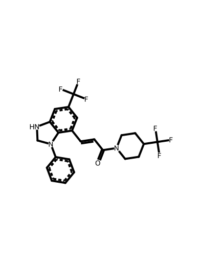 O=C(C=Cc1cc(C(F)(F)F)cc2c1N(c1ccccc1)CN2)N1CCC(C(F)(F)F)CC1